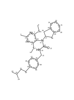 CSc1nc(C)nc(SC)c1N(C(=O)NCc1ccc(CCC(C)C)cc1)C1Cc2ccccc2C1